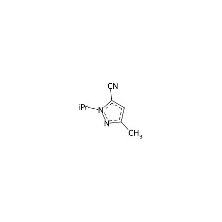 Cc1cc(C#N)n(C(C)C)n1